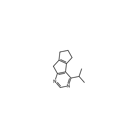 CC(C)c1ncnc2c1C1=C(CCC1)C2